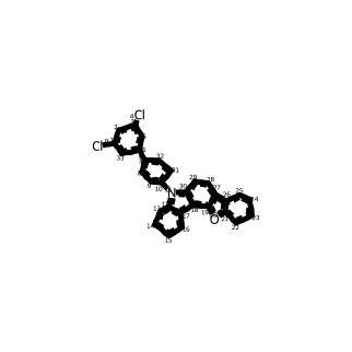 Clc1cc(Cl)cc(-c2ccc(-n3c4ccccc4c4c5oc6ccccc6c5ccc43)cc2)c1